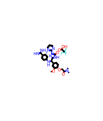 COc1cc(C(Nc2ccc(C(=N)N)cc2)c2nn(-c3ncccn3)c(=O)[nH]2)ccc1OCC(=O)N(C)C.O=C(O)C(F)(F)F